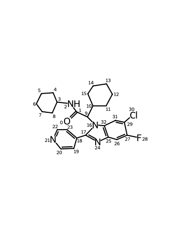 O=C(NC1CCCCC1)C(C1CCCCC1)n1c(-c2ccncc2)nc2cc(F)c(Cl)cc21